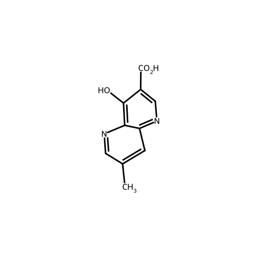 Cc1cnc2c(O)c(C(=O)O)cnc2c1